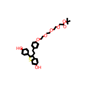 CC(C)(C)OC(=O)COCCOCCOCCOc1ccc(CCc2c(-c3ccc(O)cc3)sc3cc(O)ccc23)cc1